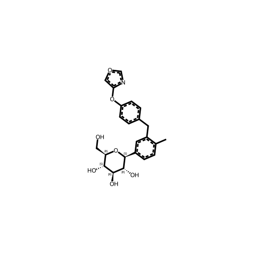 Cc1ccc([C@@H]2O[C@H](CO)[C@@H](O)[C@H](O)[C@H]2O)cc1Cc1ccc(Oc2cocn2)cc1